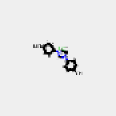 Cl.N#Cc1ccc(N2C=CN(c3ccc(C#N)cc3)C2)cc1